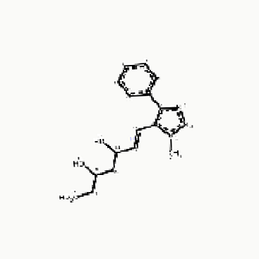 Cn1nnc(-c2ccccc2)c1/C=C/C(O)CC(O)CC(=O)O